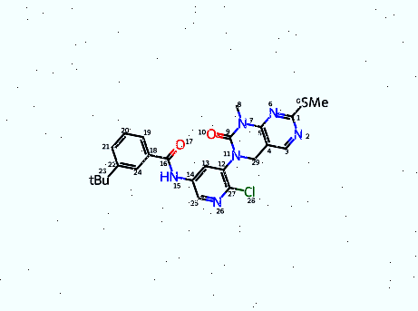 CSc1ncc2c(n1)N(C)C(=O)N(c1cc(NC(=O)c3cccc(C(C)(C)C)c3)cnc1Cl)C2